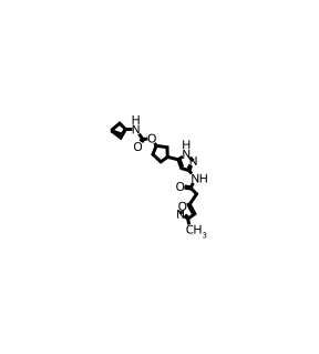 Cc1cc(CC(=O)Nc2cc(C3CCC(OC(=O)NC45CC(C4)C5)C3)[nH]n2)on1